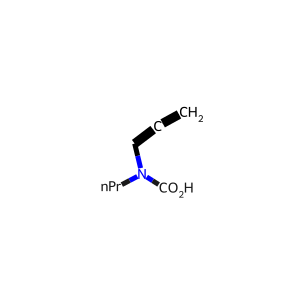 C=C=CN(CCC)C(=O)O